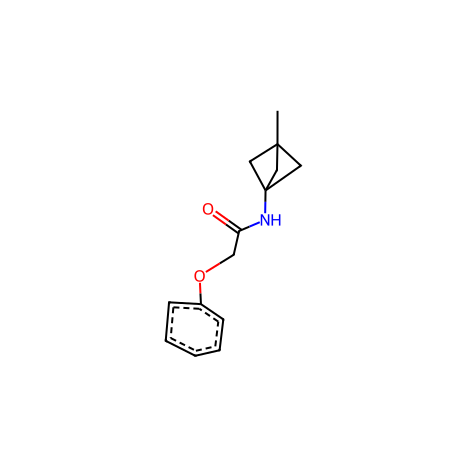 CC12CC(NC(=O)COc3ccccc3)(C1)C2